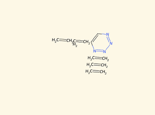 C=C.C=C.C=C.C=C.C=C.c1cnnnn1